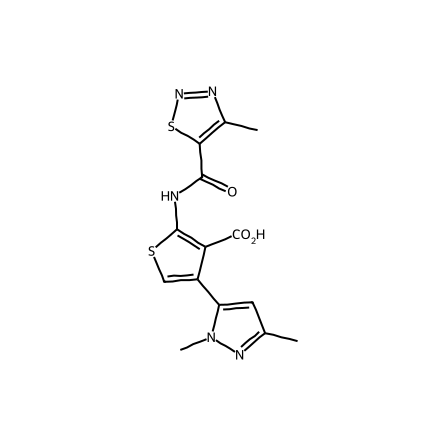 Cc1cc(-c2csc(NC(=O)c3snnc3C)c2C(=O)O)n(C)n1